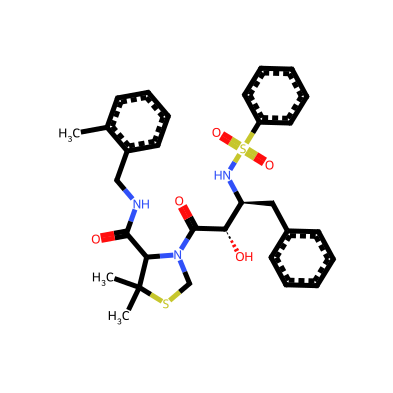 Cc1ccccc1CNC(=O)C1N(C(=O)[C@@H](O)[C@H](Cc2ccccc2)NS(=O)(=O)c2ccccc2)CSC1(C)C